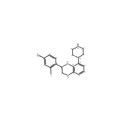 Fc1cc(Cl)ccc1C1COc2cccc(C3CCNCC3)c2O1